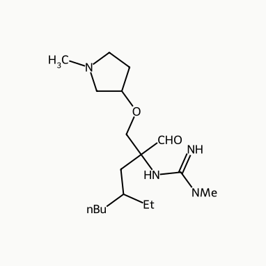 CCCCC(CC)CC(C=O)(COC1CCN(C)C1)NC(=N)NC